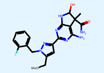 COCc1cc(-c2nc(N)c3c(n2)NC(O)C3(C)C(N)=O)nn1Cc1ccccc1F